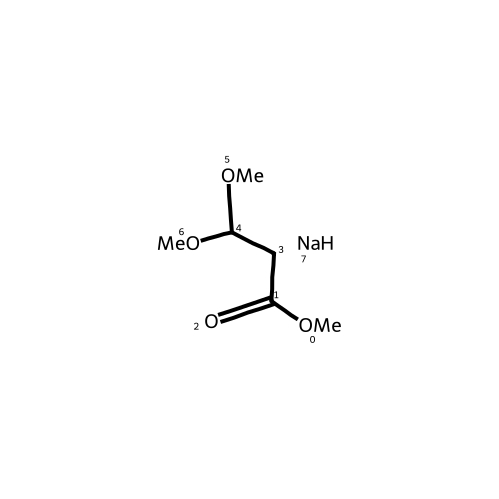 COC(=O)CC(OC)OC.[NaH]